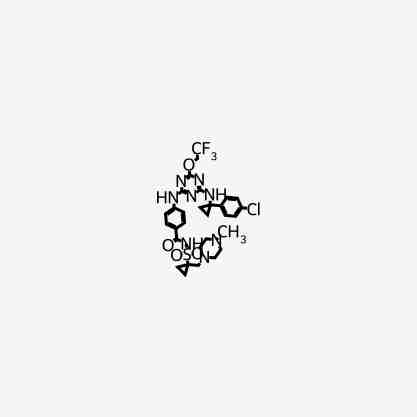 CN1CCN(CC2(S(=O)(=O)NC(=O)c3ccc(Nc4nc(NC5(c6ccc(Cl)cc6)CC5)nc(OCC(F)(F)F)n4)cc3)CC2)CC1